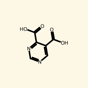 O=C(O)c1cncnc1C(=O)O